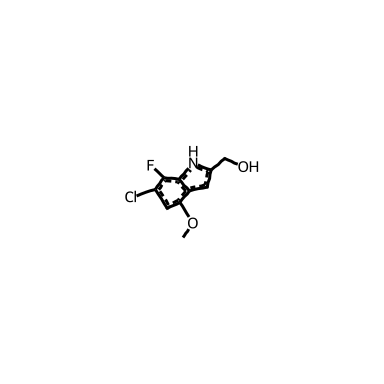 COc1cc(Cl)c(F)c2[nH]c(CO)cc12